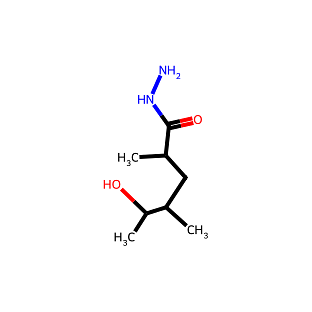 CC(CC(C)C(C)O)C(=O)NN